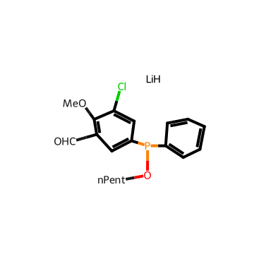 CCCCCOP(c1ccccc1)c1cc(Cl)c(OC)c(C=O)c1.[LiH]